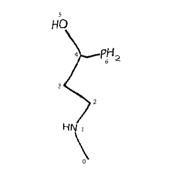 CNCCC(O)P